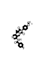 O=C(Nc1cnccc1CN1C(=O)N(c2ccc(OC(F)(F)F)cc2)C(=O)C12CC2)c1ccc(F)cc1